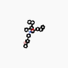 c1cc(-c2ccccc2N(c2ccc(-c3ccc4c(ccc5ccccc54)c3)cc2)c2ccc(-c3ccc4c(c3)oc3ccccc34)cc2)cc(-c2cccc3ccccc23)c1